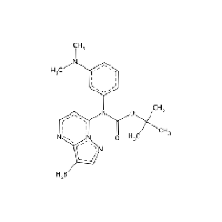 Bc1cnn2c(N(C(=O)OC(C)(C)C)c3cccc(N(C)C)c3)ccnc12